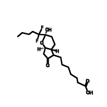 CCCCC(F)(F)[C@@]1(O)CC[C@@H]2C(CCCCCCC(=O)O)C(=O)C[C@H]2O1